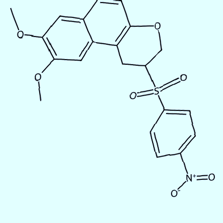 COc1cc2ccc3c(c2cc1OC)CC(S(=O)(=O)c1ccc([N+](=O)[O-])cc1)CO3